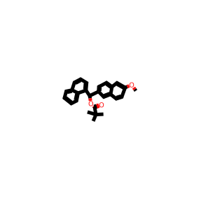 COc1ccc2cc(C(OC(=O)C(C)(C)C)c3cccc4ccccc34)ccc2c1